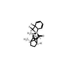 Cn1c2c(c(=O)n1C1C=CC=CC1(F)C(F)(F)F)[C@H]1CC[C@]2(C)C1(C)C